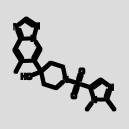 Cc1cc2ncnn2cc1C1(O)CCN(S(=O)(=O)c2cnc(C)n2C)CC1